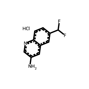 Cl.Nc1cnc2ccc(C(F)F)cc2c1